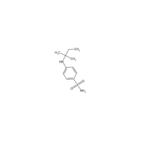 CCC(C)(C)Nc1ccc(S(N)(=O)=O)cc1